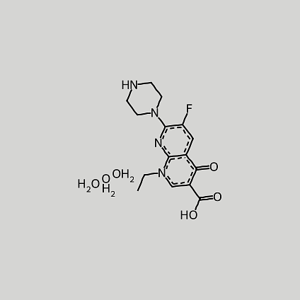 CCn1cc(C(=O)O)c(=O)c2cc(F)c(N3CCNCC3)nc21.O.O.O